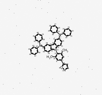 Cc1cc(-c2ccno2)cc(C)c1-n1c2ccc(N(c3ccccc3)c3ccccc3)cc2c2cc(N(c3ccccc3)c3ccccc3)ccc21